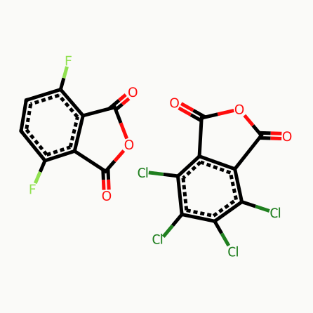 O=C1OC(=O)c2c(Cl)c(Cl)c(Cl)c(Cl)c21.O=C1OC(=O)c2c(F)ccc(F)c21